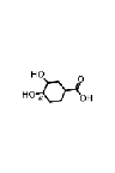 O=C(O)C1CC[C@@H](O)C(O)C1